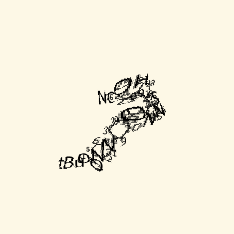 CC(C)(C)OC(=O)N1CCN([C@H]2CC[C@H](Oc3ncnc4sc5c(c34)[C@@H](CC(O)C#N)CC5)CC2)CC1